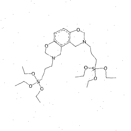 CCO[Si](CCCN1COc2ccc3c(c2C1)CN(CCC[Si](OCC)(OCC)OCC)CO3)(OCC)OCC